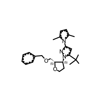 Cc1ccc(C)n1-c1cc(C(C)(C)C)n([C@H]2CCO[C@@H]2COCc2ccccc2)n1